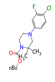 CCCCOC(=O)N1CCN(c2ccc(Cl)c(F)c2)CC1(C)C